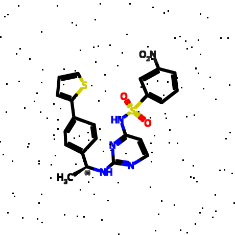 C[C@H](Nc1nccc(NS(=O)(=O)c2cccc([N+](=O)[O-])c2)n1)c1ccc(-c2cccs2)cc1